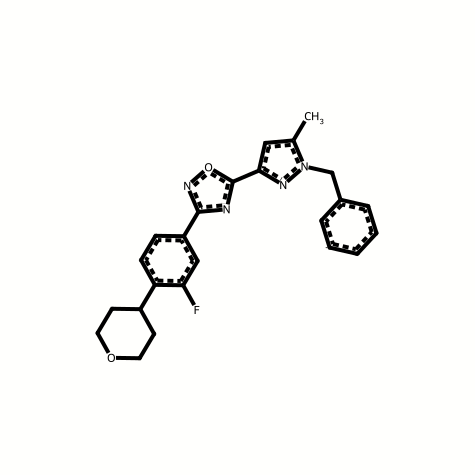 Cc1cc(-c2nc(-c3ccc(C4CCOCC4)c(F)c3)no2)nn1Cc1c[c]ccc1